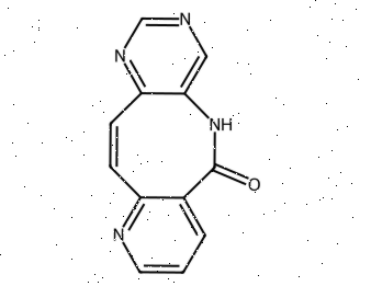 O=C1Nc2cncnc2/C=C\c2ncccc21